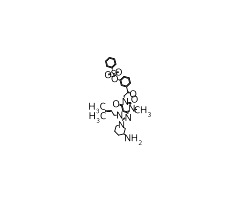 CC(C)=CCn1c(N2CCCC(N)C2)nc2c1c(=O)n(CC(=O)c1cccc(OS(=O)(=O)c3ccccc3)c1)c(=O)n2C